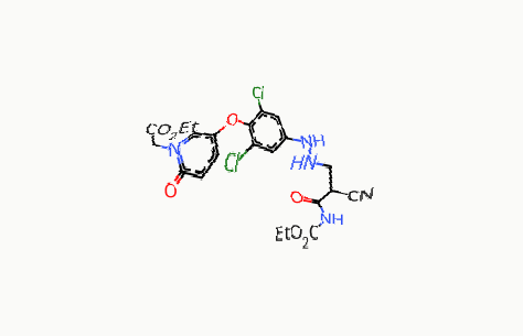 CCOC(=O)Cn1cc(Oc2c(Cl)cc(NNCC(C#N)C(=O)NC(=O)OCC)cc2Cl)ccc1=O